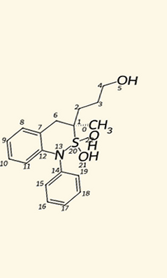 C[C@@]1(CCCO)Cc2ccccc2N(c2ccccc2)S1(O)O